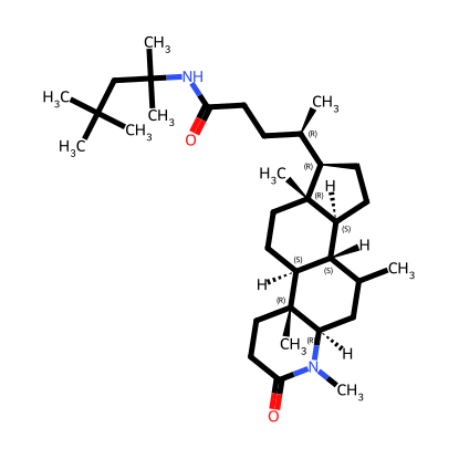 CC1C[C@H]2N(C)C(=O)CC[C@]2(C)[C@H]2CC[C@]3(C)[C@@H]([C@H](C)CCC(=O)NC(C)(C)CC(C)(C)C)CC[C@H]3[C@H]12